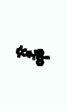 C=C1C=CN(C)C(=O)N1Cc1csc(NC(=O)C2(C)CC3(C#N)c4ccccc4C2c2ccccc23)n1